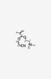 C=C(C)C(=O)OCCN(C)C.C=CC#N